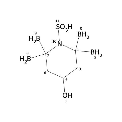 BC1(B)CC(O)CC(B)(B)N1S(=O)(=O)O